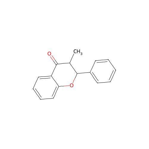 CC1C(=O)c2ccccc2OC1c1ccccc1